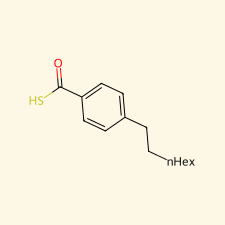 CCCCCCCCc1ccc(C(=O)S)cc1